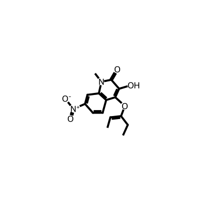 CC=C(CC)Oc1c(O)c(=O)n(C)c2cc([N+](=O)[O-])ccc12